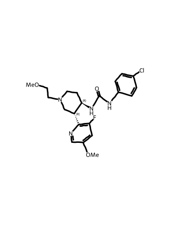 COCCN1CC[C@@H](NC(=O)Nc2ccc(Cl)cc2)[C@H](c2ncc(OC)cc2F)C1